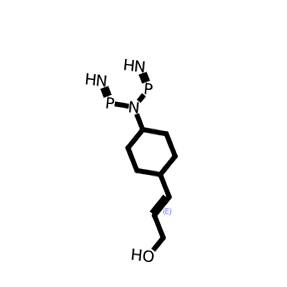 N=PN(P=N)C1CCC(/C=C/CO)CC1